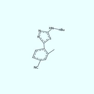 CCCCNc1nnc(-c2ccc(C#N)cc2C)s1